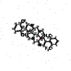 Cc1cccc(C(F)(F)F)c1-c1ccc(CN2CCCC2C2CCCN2Cc2ccc(-c3c(C)cccc3C(F)(F)F)cn2)nc1